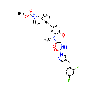 CN1C(=O)[C@@H](NC(=O)n2cc(Cc3ccc(F)cc3F)cn2)COc2ccc(C#CC(C)(C)CNC(=O)OC(C)(C)C)cc21